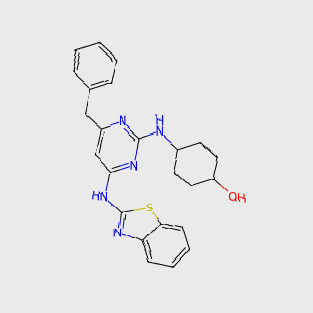 OC1CCC(Nc2nc(Cc3ccccc3)cc(Nc3nc4ccccc4s3)n2)CC1